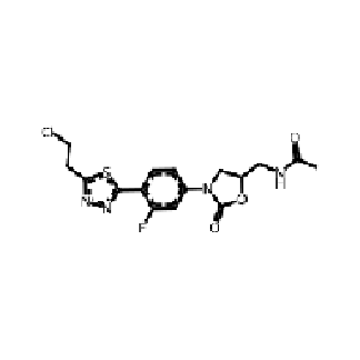 CC(=O)NCC1CN(c2ccc(-c3nnc(CCCl)s3)c(F)c2)C(=O)O1